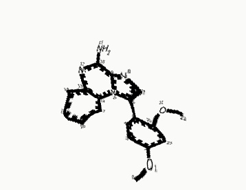 COc1ccc(-c2cnc3c(N)nc4ccccc4n23)c(OC)c1